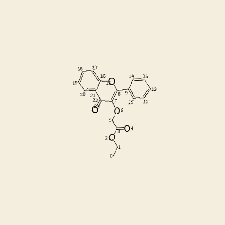 CCOC(=O)COc1c(-c2ccccc2)oc2ccccc2c1=O